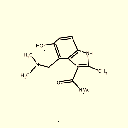 CNC(=O)c1c(C)[nH]c2ccc(O)c(CN(C)C)c12